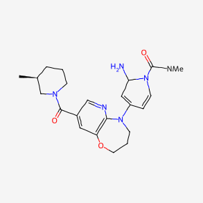 CNC(=O)N1C=CC(N2CCCOc3cc(C(=O)N4CCC[C@H](C)C4)cnc32)=CC1N